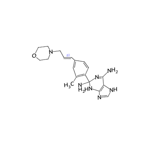 Cc1cc(/C=C/CN2CCOCC2)ccc1C1(N)N=C(N)c2[nH]cnc2N1